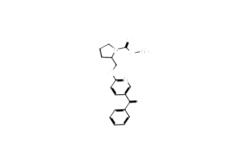 CC(C)(C)OC(=O)N1CCCC1COc1ccc(C(=O)c2ccccc2)cn1